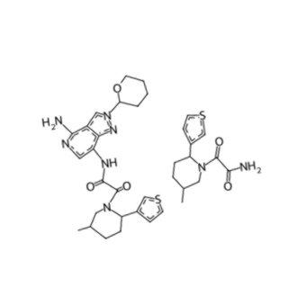 CC1CCC(c2ccsc2)N(C(=O)C(=O)Nc2cnc(N)c3cn(C4CCCCO4)nc23)C1.CC1CCC(c2ccsc2)N(C(=O)C(N)=O)C1